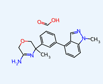 Cn1ncc2c(-c3cccc(C4(C)COCC(N)=N4)c3)cccc21.O=CO